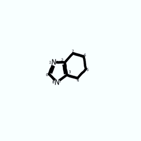 C1=NC2=C(CCCC2)[N]1